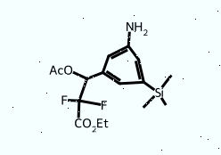 CCOC(=O)C(F)(F)C(OC(C)=O)c1cc(N)cc([Si](C)(C)C)c1